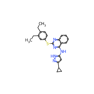 CCc1ccc(Sc2nc(Nc3cc(C4CC4)n[nH]3)c3ccccc3n2)cc1CC